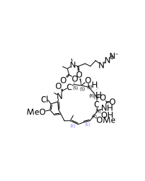 COc1cc2cc(c1Cl)N(C)C(=O)C[C@H](OC(=O)C(C)N(C)C(=O)CCCN=[N+]=[N-])[C@]1(C)O[C@H]1[C@H](C)[C@@H]1C[C@@](O)(NC(=O)O1)[C@H](OC)/C=C/C=C(\C)C2